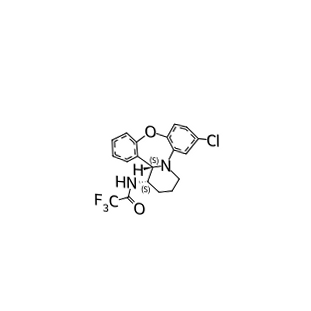 O=C(N[C@H]1CCCN2c3cc(Cl)ccc3Oc3ccccc3[C@@H]12)C(F)(F)F